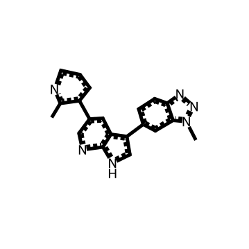 Cc1ncccc1-c1cnc2[nH]cc(-c3ccc4nnn(C)c4c3)c2c1